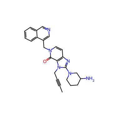 CC#CCn1c(N2CCCC(N)C2)nc2ccn(Cc3cncc4ccccc34)c(=O)c21